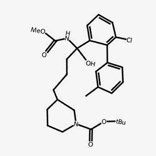 COC(=O)NC(O)(CCCC1CCCN(C(=O)OC(C)(C)C)C1)c1cccc(Cl)c1-c1cccc(C)c1